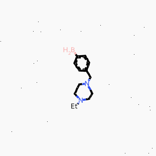 Bc1ccc(CN2CCN(CC)CC2)cc1